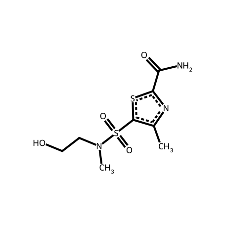 Cc1nc(C(N)=O)sc1S(=O)(=O)N(C)CCO